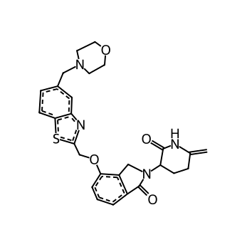 C=C1CCC(N2Cc3c(OCc4nc5cc(CN6CCOCC6)ccc5s4)cccc3C2=O)C(=O)N1